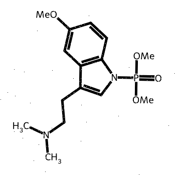 COc1ccc2c(c1)c(CCN(C)C)cn2P(=O)(OC)OC